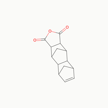 O=C1OC(=O)C2C3CC(C12)C1C2C=CC(C2)C31